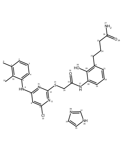 Cc1cccc(Nc2cc(Cl)nc(SCC(=O)Nc3cccc(CCCC(N)=O)c3O)n2)c1C.c1c[nH]cn1